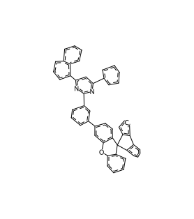 c1ccc(-c2cc(-c3cccc4ccccc34)nc(-c3cccc(-c4ccc5c(c4)Oc4ccccc4C54c5ccccc5-c5ccccc54)c3)n2)cc1